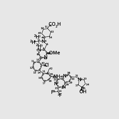 [2H]C([2H])([2H])N(Cc1ncc(-c2cccc(-c3cccc(Nc4nc(C(F)F)nc5cc(CN6CC[C@@H](O)C6)cnc45)c3C)c2Cl)nc1OC)C1CCC(C(=O)O)CC1